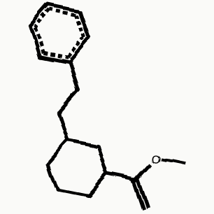 C=C(OC)C1CCCC(CCc2ccccc2)C1